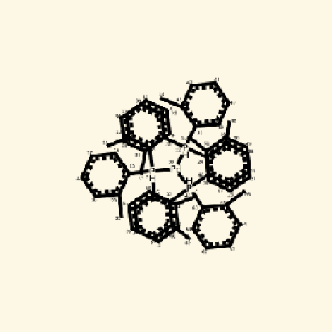 Cc1ccccc1[PH](c1ccccc1C)(c1ccccc1C)[Pd]([PH](c1ccccc1C)(c1ccccc1C)c1ccccc1C)[PH](c1ccccc1C)(c1ccccc1C)c1ccccc1C